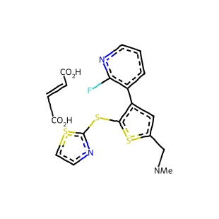 CNCc1cc(-c2cccnc2F)c(Sc2nccs2)s1.O=C(O)C=CC(=O)O